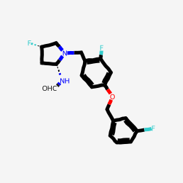 O=CN[C@@H]1C[C@H](F)CN1Cc1ccc(OCc2cccc(F)c2)cc1F